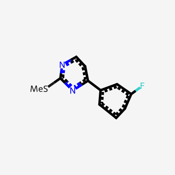 CSc1nccc(-c2cccc(F)c2)n1